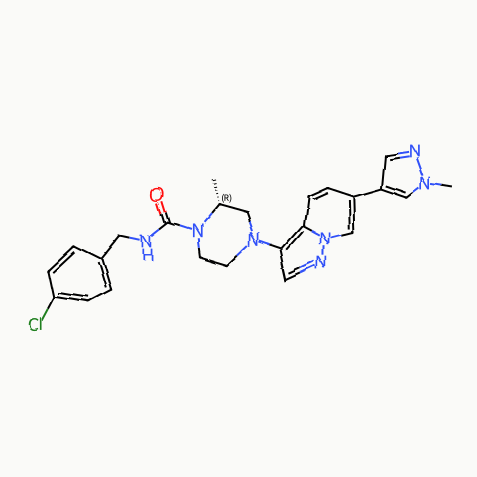 C[C@@H]1CN(c2cnn3cc(-c4cnn(C)c4)ccc23)CCN1C(=O)NCc1ccc(Cl)cc1